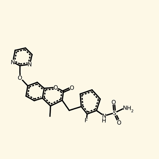 Cc1c(Cc2cccc(NS(N)(=O)=O)c2F)c(=O)oc2cc(Oc3ncccn3)ccc12